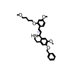 COCCCCOc1cc(OC)ccc1/C=C/C1NCCc2cc(OCc3ccccc3)c(OC)cc21